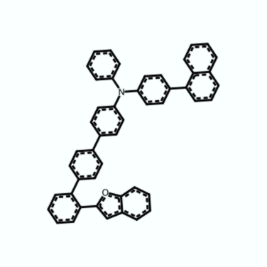 c1ccc(N(c2ccc(-c3ccc(-c4ccccc4-c4cc5ccccc5o4)cc3)cc2)c2ccc(-c3cccc4ccccc34)cc2)cc1